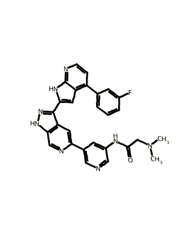 CN(C)CC(=O)Nc1cncc(-c2cc3c(-c4cc5c(-c6cccc(F)c6)ccnc5[nH]4)n[nH]c3cn2)c1